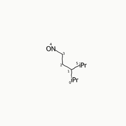 CC(C)C(CCN=O)C(C)C